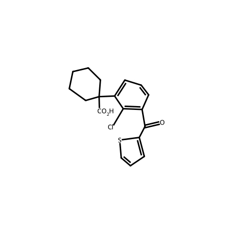 O=C(c1cccs1)c1cccc(C2(C(=O)O)CCCCC2)c1Cl